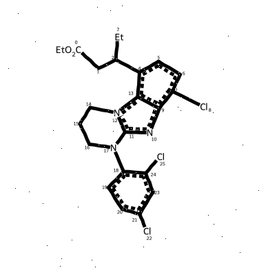 CCOC(=O)CC(CC)c1ccc(Cl)c2nc3n(c12)CCCN3c1ccc(Cl)cc1Cl